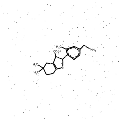 Cc1cc(CN)ccc1C1SC2=C(CC(C)(C)CC2)C1C(=O)O